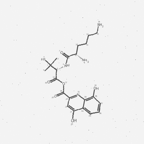 CC(C)(S)[C@H](NC(=O)[C@@H](N)CCCCN)C(=O)OC(=O)c1cc(O)c2cccc(O)c2n1